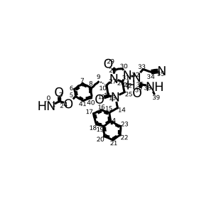 CNC(=O)Oc1ccc(C[C@H]2C(=O)N(Cc3cccc4ccccc34)C[C@H]3N2C(=O)CN3N(CC#N)C(=O)NC)cc1